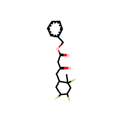 CC1(F)CC(F)C(F)CC1CC(=O)CC(=O)OCc1ccccc1